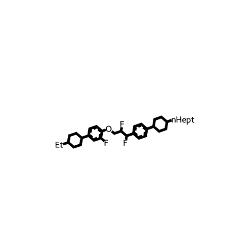 CCCCCCCC1CCC(c2ccc(C(F)C(F)COc3ccc(C4CCC(CC)CC4)cc3F)cc2)CC1